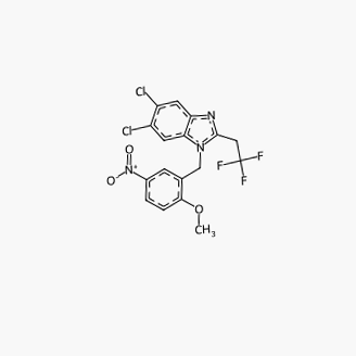 COc1ccc([N+](=O)[O-])cc1Cn1c(CC(F)(F)F)nc2cc(Cl)c(Cl)cc21